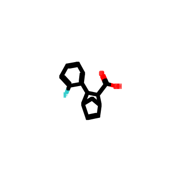 O=C(O)C1C2C=CC(C2)C1c1ccccc1F